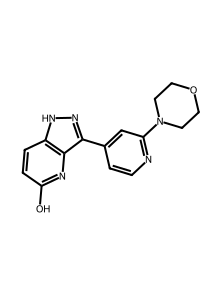 Oc1ccc2[nH]nc(-c3ccnc(N4CCOCC4)c3)c2n1